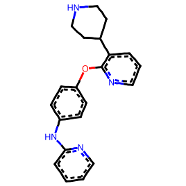 c1ccc(Nc2ccc(Oc3ncccc3C3CCNCC3)cc2)nc1